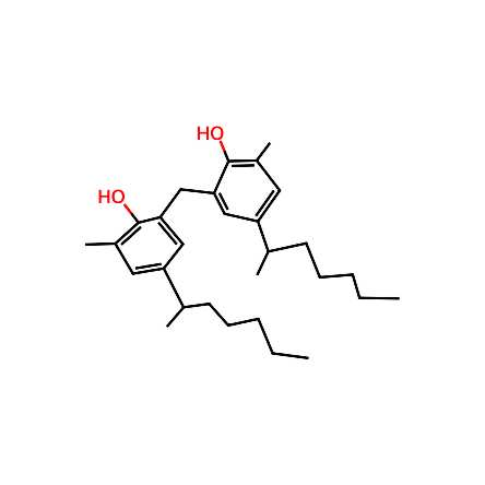 CCCCCC(C)c1cc(C)c(O)c(Cc2cc(C(C)CCCCC)cc(C)c2O)c1